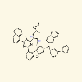 C/C=C\C(=C/C(C)OCC)c1nc(-c2cccc3oc4cc(N(c5cccc(-c6ccccc6)c5)c5ccc6ccccc6c5)ccc4c23)nc(-c2cccc3ccccc23)c1C